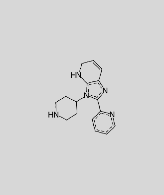 C1=Cc2nc(-c3ccccn3)n(C3CCNCC3)c2NC1